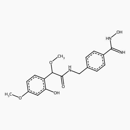 COc1ccc(C(OC)C(=O)NCc2ccc(C(=N)NO)cc2)c(O)c1